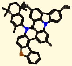 Cc1cc2c3c(c1)-n1c4ccc(C(C)(C)C)cc4c4cc(C(C)(C)C)cc(c41)B3N(c1cc3c(cc1C)C(C)(C)CCC3(C)C)c1ccc3sc4ccccc4c3c1-2